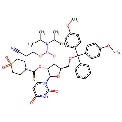 COc1ccc(C(OC[C@H]2O[C@@H](n3ccc(=O)[nH]c3=O)[C@H](OC(=S)N3CCS(=O)(=O)CC3)[C@@H]2OP(OCCC#N)N(C(C)C)C(C)C)(c2ccccc2)c2ccc(OC)cc2)cc1